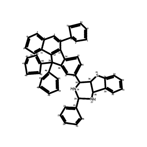 c1ccc(-c2cc3ccccc3c3c2-c2ccc(C4NC(c5ccccc5)NC5c6ccccc6SC45)cc2C3(c2ccccc2)c2ccccc2)cc1